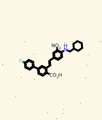 O=C(O)c1ccc(-c2ccc(F)cc2)cc1C=Cc1ccc(NCC2CCCCC2)c([N+](=O)[O-])c1